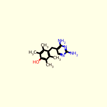 Cc1c(C)c(Cc2cnc(N)nc2N)c(C)c(C)c1O